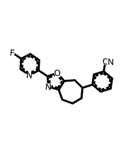 N#Cc1cccc(C2CCCc3nc(-c4ccc(F)cn4)oc3C2)c1